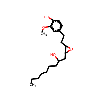 CCCCCCCC(O)CC1OC1CCc1ccc(O)c(OC)c1